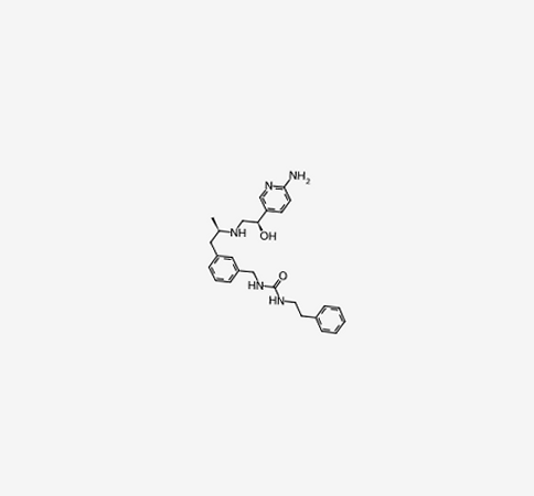 C[C@H](Cc1cccc(CNC(=O)NCCc2ccccc2)c1)NC[C@H](O)c1ccc(N)nc1